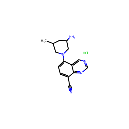 CC1CC(N)CN(c2ccc(C#N)c3ncncc23)C1.Cl